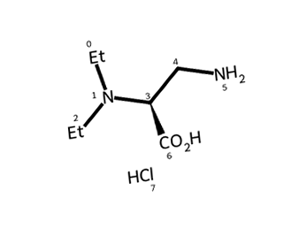 CCN(CC)[C@@H](CN)C(=O)O.Cl